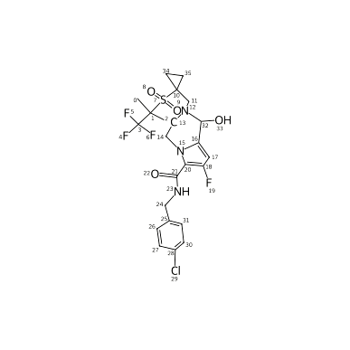 CC(C)(C(F)(F)F)S(=O)(=O)C1(CN2CCn3c(cc(F)c3C(=O)NCc3ccc(Cl)cc3)C2O)CC1